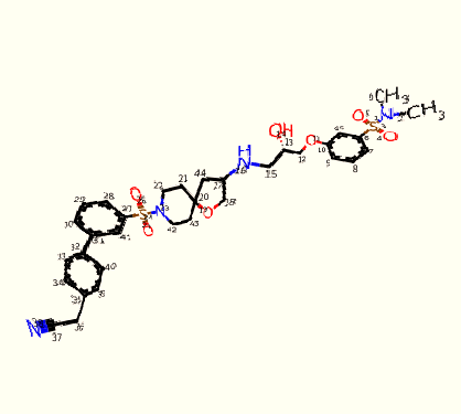 CN(C)S(=O)(=O)c1cccc(OC[C@@H](O)CNC2COC3(CCN(S(=O)(=O)c4cccc(-c5ccc(CC#N)cc5)c4)CC3)C2)c1